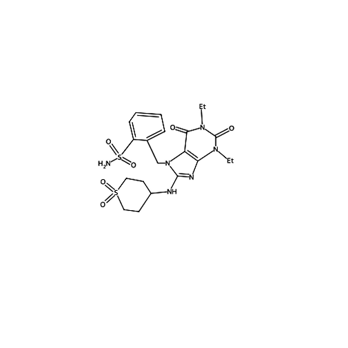 CCn1c(=O)c2c(nc(NC3CCS(=O)(=O)CC3)n2Cc2ccccc2S(N)(=O)=O)n(CC)c1=O